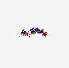 Cc1cccc(OCCCC(=O)N2CC3CC3c3c(-c4cnn(Cc5cccc(C(=O)NOS(C)(=O)=O)c5)c4)cccc32)c1C